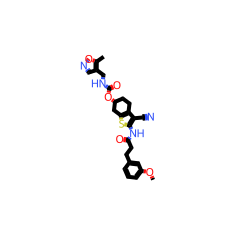 COc1cccc(CCC(=O)Nc2sc3c(c2C#N)CCC(OC(=O)NCc2cnoc2C)C3)c1